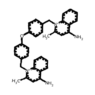 Cc1cc(N)c2ccccc2[n+]1Cc1ccc(Oc2ccc(C[n+]3c(C)cc(N)c4ccccc43)cc2)cc1